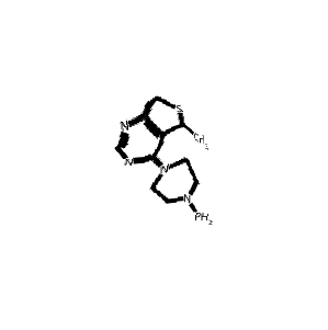 CC1SCc2ncnc(N3CCN(P)CC3)c21